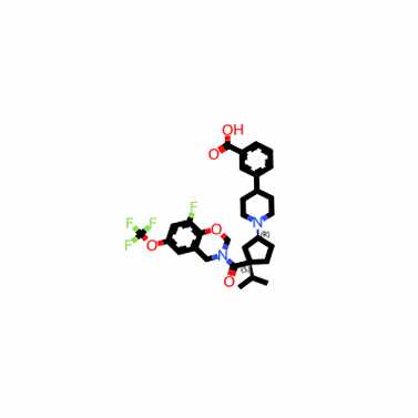 CC(C)[C@]1(C(=O)N2COc3c(F)cc(OC(F)(F)F)cc3C2)CC[C@@H](N2CCC(c3cccc(C(=O)O)c3)CC2)C1